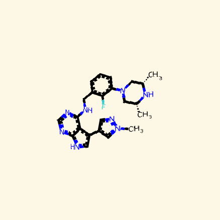 C[C@@H]1CN(c2cccc(CNc3ncnc4[nH]cc(-c5cnn(C)c5)c34)c2F)C[C@H](C)N1